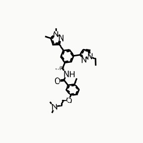 CCn1ccc(-c2cc(-c3cc(C)n(C)n3)cc([C@@H](C)NC(=O)c3cc(OCCN(C)C)ccc3C)c2)n1